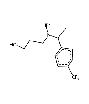 CC(C)N(CCCO)C(C)c1ccc(C(F)(F)F)cc1